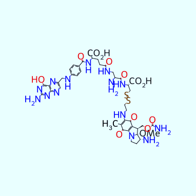 CO[C@]12[C@H](N)CCN1C1=C(C(=O)C(NCCSSC[C@H](NC(=O)[C@@H](N)CNC(=O)CC[C@@H](NC(=O)c3ccc(NCc4cnc5nc(N)nc(O)c5n4)cc3)C(=O)O)C(=O)O)=C(C)C1=O)[C@H]2COC(N)=O